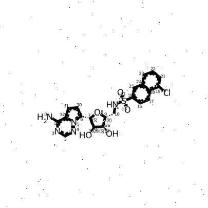 Nc1ncnn2c([C@@H]3O[C@H](CNS(=O)(=O)c4ccc5c(Cl)cccc5c4)[C@@H](O)[C@H]3O)ccc12